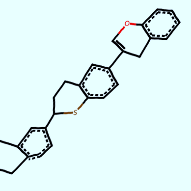 C1=C(c2ccc3c(c2)CCC(c2ccc4c(c2)CSCC4)S3)Cc2ccccc2O1